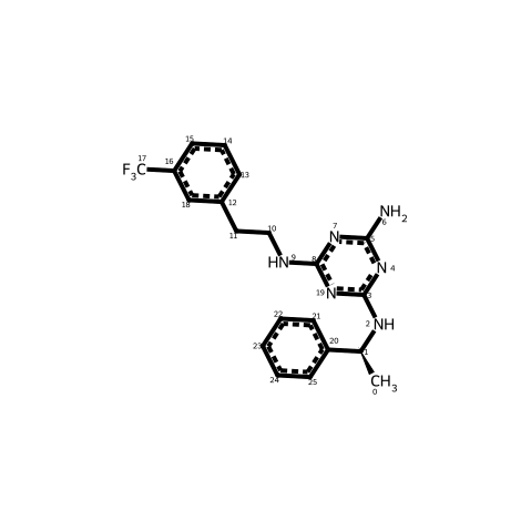 C[C@H](Nc1nc(N)nc(NCCc2cccc(C(F)(F)F)c2)n1)c1ccccc1